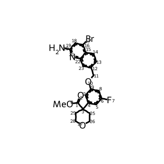 COC(=O)C1(c2cc(F)cc(OCc3ccc4c(Br)cc(N)nc4c3)c2)CCOCC1